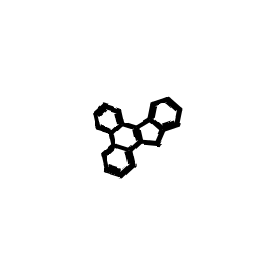 [CH]1c2ccccc2-c2c1c1ccccc1c1ccccc21